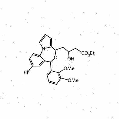 CCOC(=O)CC(O)CC1OC(c2cccc(OC)c2OC)c2cc(Cl)ccc2-n2cccc21